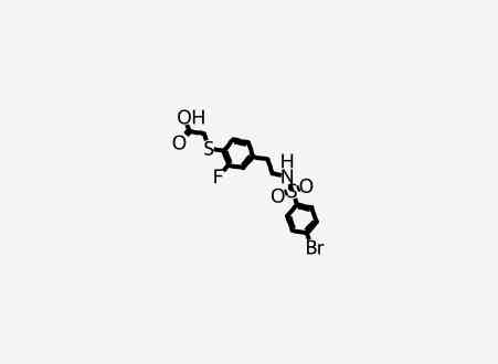 O=C(O)CSc1ccc(CCNS(=O)(=O)c2ccc(Br)cc2)cc1F